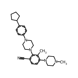 Cc1c(N2CCN(C)CC2)ccc(C#N)c1N1CCN(c2ccc(C3CCCC3)cc2)CC1